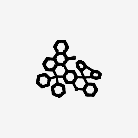 O=c1c2ccccc2c2cccc3c2n1-c1cc2c(cc1C3(c1ccccc1)c1ccccc1)Oc1ccccc1C21c2ccccc2-c2ccccc21